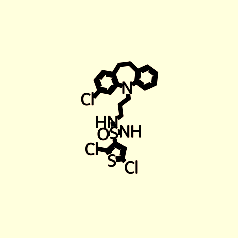 N=S(=O)(NCCCN1c2ccccc2CCc2ccc(Cl)cc21)c1cc(Cl)sc1Cl